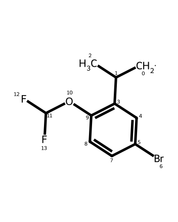 [CH2]C(C)c1cc(Br)ccc1OC(F)F